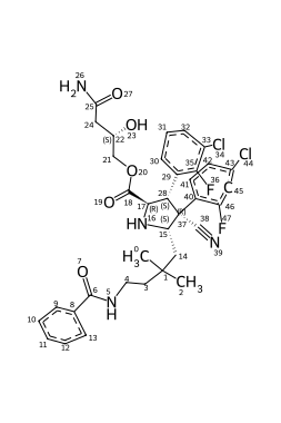 CC(C)(CCNC(=O)c1ccccc1)C[C@@H]1N[C@@H](C(=O)OC[C@@H](O)CC(N)=O)[C@H](c2cccc(Cl)c2F)[C@@]1(C#N)c1ccc(Cl)cc1F